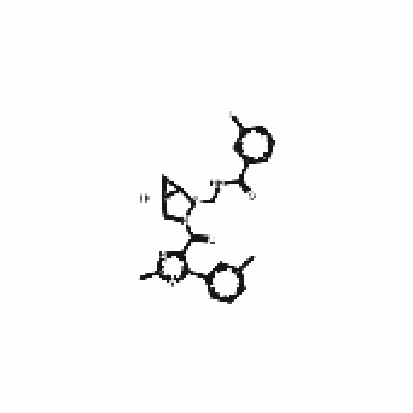 Cc1cccc(-c2sc(C)nc2C(=O)N2C[C@H]3CC3[C@H]2CNC(=O)c2cccc(I)c2)c1